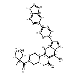 CC(=O)c1c(C2CCN(C(=O)C(C)(CO)CO)CC2)nc2c(-c3ccc(-c4cnc5sccc5c4)nc3)cnn2c1N